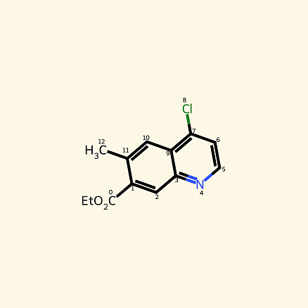 CCOC(=O)c1cc2nccc(Cl)c2cc1C